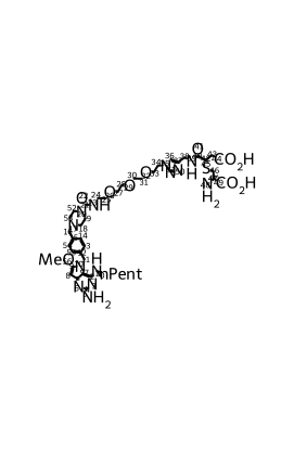 CCCCCNc1nc(N)nc2ccn(Cc3ccc(CN4CCN(C(=O)NCCOCCOCCOCCn5cc(CNC(=O)C(CC(=O)O)SC[C@H](N)C(=O)O)nn5)CC4)cc3OC)c12